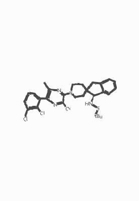 Cc1nc(N2CCC3(CC2)Cc2ccccc2[C@H]3NSC(C)(C)C)c(C#N)nc1-c1cccc(Cl)c1Cl